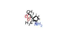 CC(=O)CC(=O)c1cccc(N)c1C